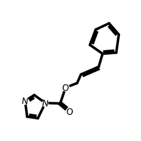 O=C(OCC=Cc1ccccc1)n1ccnc1